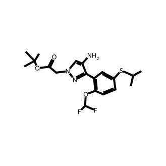 CC(C)Sc1ccc(OC(F)F)c(-c2nn(CC(=O)OC(C)(C)C)cc2N)c1